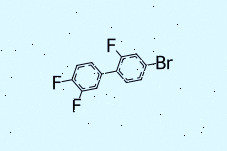 Fc1ccc(-c2ccc(Br)cc2F)cc1F